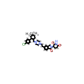 CC1(C)CCC(CN2CCN(CCc3ccc4c(c3)CN(C3CCC(=O)NC3=O)C4=O)CC2)=C(c2ccc(Cl)cc2)C1